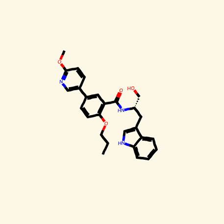 CCCOc1ccc(-c2ccc(OC)nc2)cc1C(=O)N[C@H](CO)Cc1c[nH]c2ccccc12